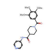 COc1cc(C(=O)N2CCC(C(=O)Nc3ccncc3)CC2)cc(OC)c1OC